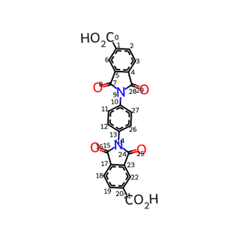 O=C(O)c1ccc2c(c1)C(=O)N(c1ccc(N3C(=O)c4ccc(C(=O)O)cc4C3=O)cc1)C2=O